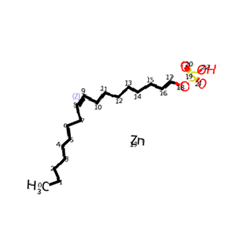 CCCCCCCC/C=C\CCCCCCCCOS(=O)(=O)O.[Zn]